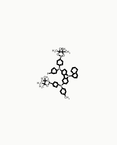 Cc1ccc(N(c2ccc(B3OC(C)(C)C(C)(C)O3)cc2)c2ccc3c(c2)c2cc(N(c4ccc(F)cc4)c4ccc(B5OC(C)(C)C(C)(C)O5)cc4)ccc2n3-c2cccc3ccccc23)cc1